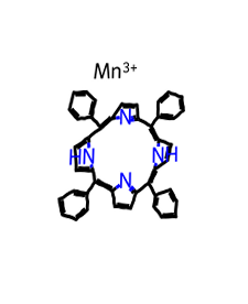 C1=Cc2nc1c(-c1ccccc1)c1ccc([nH]1)c(-c1ccccc1)c1nc(c(-c3ccccc3)c3ccc([nH]3)c2-c2ccccc2)C=C1.[Mn+3]